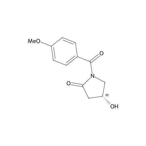 COc1ccc(C(=O)N2C[C@H](O)CC2=O)cc1